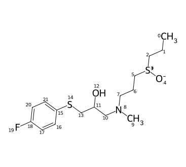 CCC[S+]([O-])CCCN(C)CC(O)CSc1ccc(F)cc1